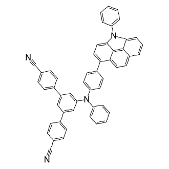 N#Cc1ccc(-c2cc(-c3ccc(C#N)cc3)cc(N(c3ccccc3)c3ccc(-c4ccc5c6c4ccc4cccc(c46)n5-c4ccccc4)cc3)c2)cc1